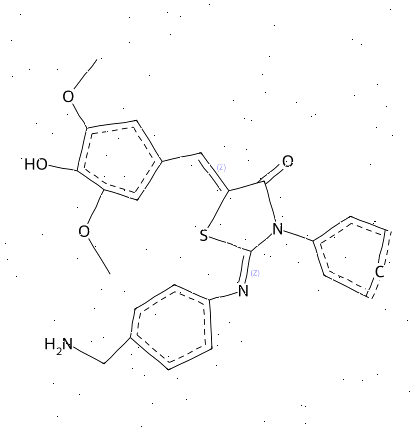 COc1cc(/C=C2\S/C(=N\c3ccc(CN)cc3)N(c3ccccc3)C2=O)cc(OC)c1O